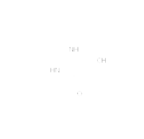 CC1NCNC1=O